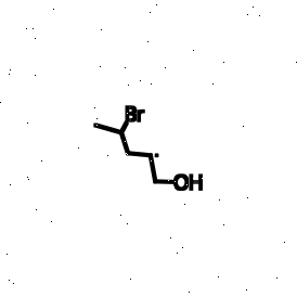 CC(Br)C[CH]CO